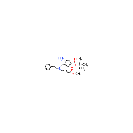 COC(=O)/C=C/CN(CCc1ccccc1)Cc1ccc(C(=O)OC(C)(C)C)cc1N